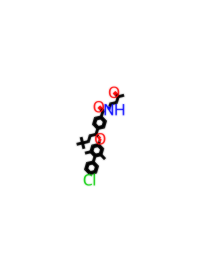 CC(=O)CCNC(=O)c1ccc(C(CCC(C)(C)C)Oc2cc(C)c(-c3ccc(Cl)cc3)c(C)c2)cc1